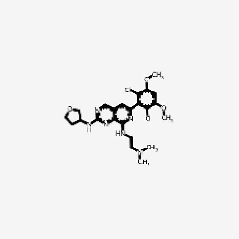 COc1cc(OC)c(Cl)c(-c2cc3cnc(NC4CCOC4)nc3c(NCCN(C)C)n2)c1Cl